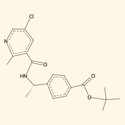 Cc1ncc(Cl)cc1C(=O)N[C@@H](C)c1ccc(C(=O)OC(C)(C)C)cc1